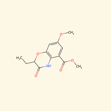 CCC1Oc2cc(OC)cc(C(=O)OC)c2NC1=O